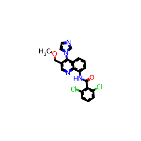 COCc1cnc2c(NC(=O)c3c(Cl)cccc3Cl)cccc2c1-n1ccnc1